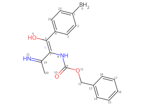 Bc1ccc(/C(O)=C(\NC(=O)OCc2ccccc2)C(C)=N)cc1